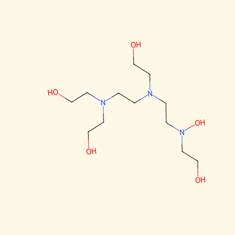 OCCN(O)CCN(CCO)CCN(CCO)CCO